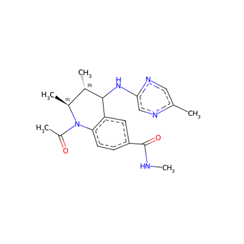 CNC(=O)c1ccc2c(c1)C(Nc1cnc(C)cn1)[C@@H](C)[C@H](C)N2C(C)=O